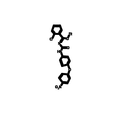 CCOC(=NC(=O)Nc1ccc(Oc2ccc([N+](=O)[O-])cc2)cc1)c1ccccc1Cl